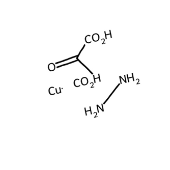 NN.O=C(O)C(=O)C(=O)O.[Cu]